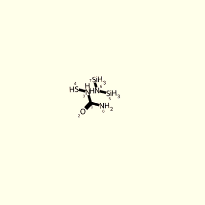 NC(=O)NS.[SiH3]N[SiH3]